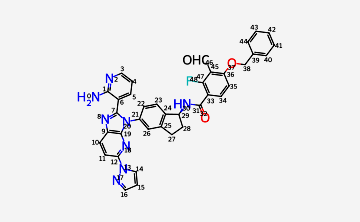 Nc1ncccc1-c1nc2ccc(-n3cccn3)nc2n1-c1ccc2c(c1)CC[C@@H]2NC(=O)c1ccc(OCc2ccccc2)c(C=O)c1F